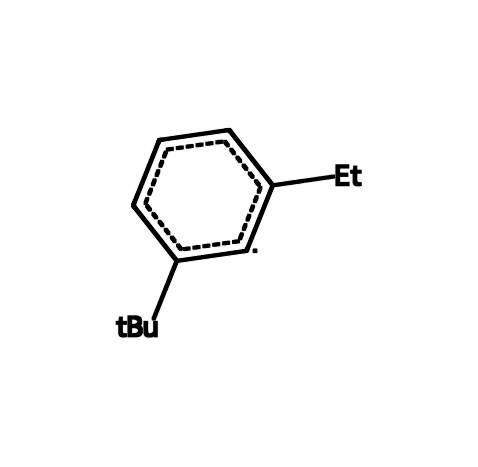 CCc1[c]c(C(C)(C)C)ccc1